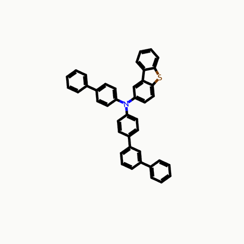 c1ccc(-c2ccc(N(c3ccc(-c4cccc(-c5ccccc5)c4)cc3)c3ccc4sc5ccccc5c4c3)cc2)cc1